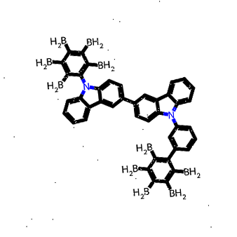 Bc1c(B)c(B)c(-c2cccc(-n3c4ccccc4c4cc(-c5ccc6c(c5)c5ccccc5n6-c5c(B)c(B)c(B)c(B)c5B)ccc43)c2)c(B)c1B